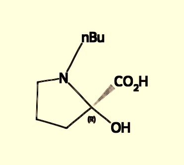 CCCCN1CCC[C@@]1(O)C(=O)O